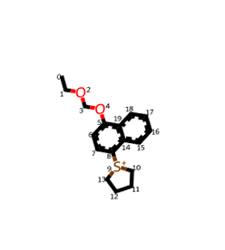 CCOCOc1ccc([S+]2CCCC2)c2ccccc12